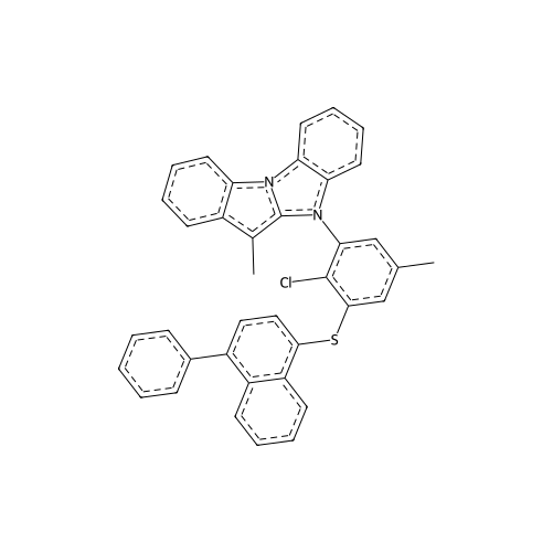 Cc1cc(Sc2ccc(-c3ccccc3)c3ccccc23)c(Cl)c(-n2c3ccccc3n3c4ccccc4c(C)c23)c1